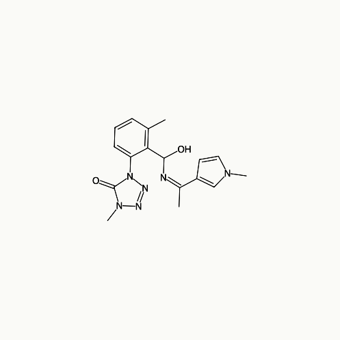 CC(=NC(O)c1c(C)cccc1-n1nnn(C)c1=O)c1ccn(C)c1